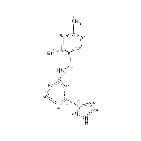 Cc1ccc(CNc2cccc(-c3nc[nH]n3)c2)c(Br)c1